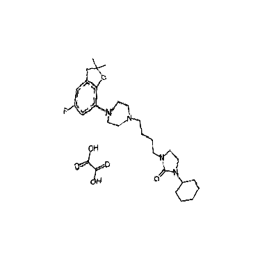 CC1(C)Cc2cc(F)cc(N3CCN(CCCCN4CCN(C5CCCCC5)C4=O)CC3)c2O1.O=C(O)C(=O)O